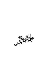 CC(=O)CCC(=O)OC1C[C@H](n2cc(C)c(=O)[nH]c2=O)O[C@@H]1CO